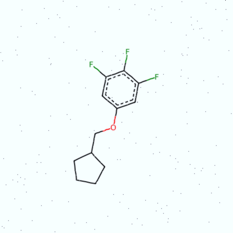 Fc1[c]c(OCC2CCCC2)cc(F)c1F